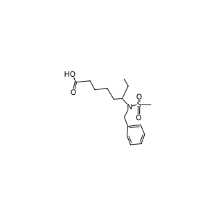 CCC(CCCCC(=O)O)N(Cc1ccccc1)S(C)(=O)=O